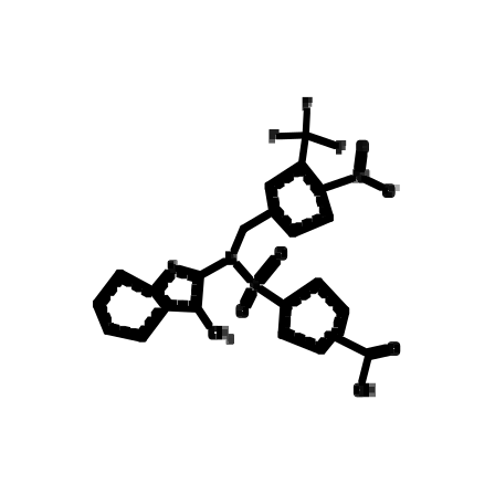 Cc1c(N(Cc2ccc([N+](=O)[O-])c(C(F)(F)F)c2)S(=O)(=O)c2ccc(C(=O)O)cc2)sc2ccccc12